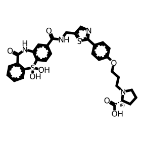 O=C(NCc1cnc(-c2ccc(OCCCN3CCC[C@@H]3C(=O)O)cc2)s1)c1ccc2c(c1)NC(=O)c1ccccc1S2(O)O